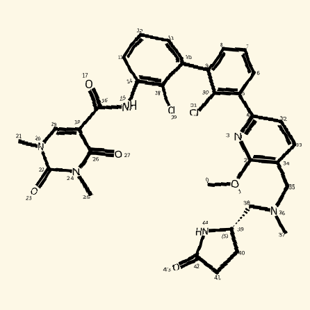 COc1nc(-c2cccc(-c3cccc(NC(=O)c4cn(C)c(=O)n(C)c4=O)c3Cl)c2Cl)ccc1CN(C)C[C@@H]1CCC(=O)N1